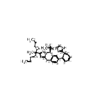 CCCOC(C)(OCCC)c1nc(Cc2ccc(-c3ccccc3-c3nnn[nH]3)cc2)n(CC(C)(C)C)n1